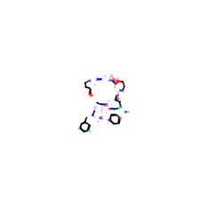 C[C@@H]1C[C@H]2C(=O)OCC(NC(=O)[C@H](Cc3cc(F)cc(F)c3)NC(=O)Nc3ccc(OC(F)(F)F)cc3)C(=O)N3CCCC[C@H]3C(=O)N3CCCC[C@H]3C(=O)N[C@@H](C)C(=O)N2C1